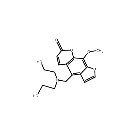 COc1c2occc2c(CN(CCO)CCO)c2ccc(=O)oc12